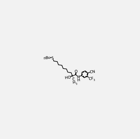 CCCCSCCCCCCCC[C@](C)(O)C(=O)Nc1ccc(C#N)c(C(F)(F)F)c1